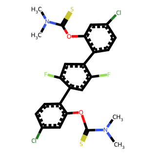 CN(C)C(=S)Oc1cc(Cl)ccc1-c1cc(F)c(-c2ccc(Cl)cc2OC(=S)N(C)C)cc1F